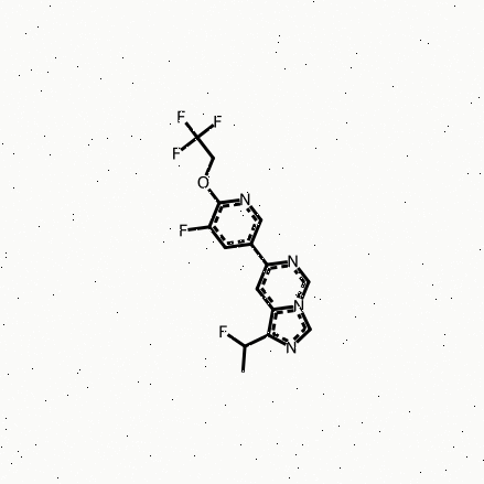 CC(F)c1ncn2cnc(-c3cnc(OCC(F)(F)F)c(F)c3)cc12